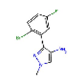 Cn1cc(N)c(-c2cc(F)ccc2Br)n1